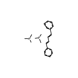 C(C=Cc1ccccc1)=Cc1ccccc1.CP(C)C.CP(C)C